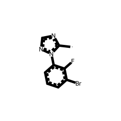 [CH2]c1ncnn1-c1cccc(Br)c1F